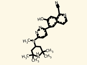 CN(c1ccc(-c2cc3ccnc(C#N)c3cc2O)nn1)C1CC(C)(C)NC(C)(C)C1